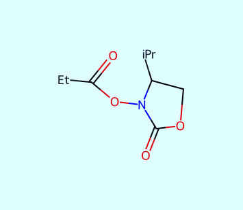 CCC(=O)ON1C(=O)OCC1C(C)C